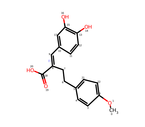 COc1ccc(CC/C(=C\c2ccc(O)c(O)c2)C(=O)O)cc1